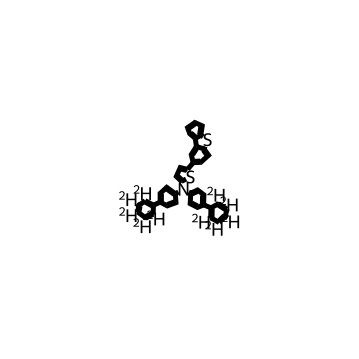 [2H]c1c([2H])c([2H])c(-c2ccc(N(c3ccc(-c4c([2H])c([2H])c([2H])c([2H])c4[2H])cc3)c3ccc(-c4ccc5sc6ccccc6c5c4)s3)cc2)c([2H])c1[2H]